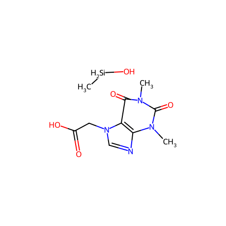 C[SiH2]O.Cn1c(=O)c2c(ncn2CC(=O)O)n(C)c1=O